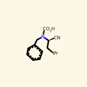 CC(C)C[C@H](C#N)N(Cc1ccccc1)C(=O)O